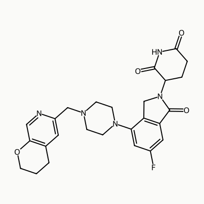 O=C1CCC(N2Cc3c(cc(F)cc3N3CCN(Cc4cc5c(cn4)OCCC5)CC3)C2=O)C(=O)N1